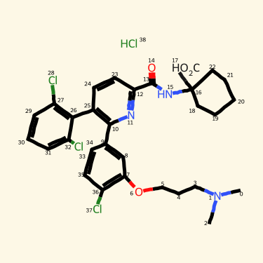 CN(C)CCCOc1cc(-c2nc(C(=O)NC3(C(=O)O)CCCCC3)ccc2-c2c(Cl)cccc2Cl)ccc1Cl.Cl